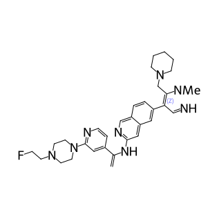 C=C(Nc1cc2cc(/C(C=N)=C(\CN3CCCCC3)NC)ccc2cn1)c1ccnc(N2CCN(CCF)CC2)c1